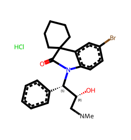 CNC[C@@H](O)[C@H](c1ccccc1)N1C(=O)C2(CCCCC2)c2cc(Br)ccc21.Cl